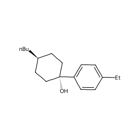 CCCC[C@H]1CC[C@@](O)(c2ccc(CC)cc2)CC1